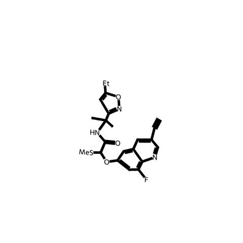 C#Cc1cnc2c(F)cc(OC(SC)C(=O)NC(C)(C)c3cc(CC)on3)cc2c1